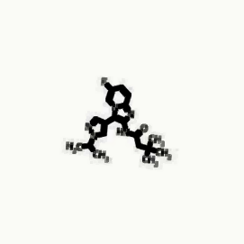 CC(C)n1cc(-c2c(NC(=O)CC(C)(C)C)nc3ccc(F)cn23)cn1